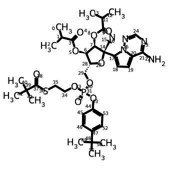 CC(C)C(=O)O[C@H]1[C@@H](OC(=O)C(C)C)[C@](C#N)(c2ccc3c(N)ncnn23)O[C@@H]1COP(=O)(OCCSC(=O)C(C)(C)C)Oc1ccc(C(C)(C)C)cc1